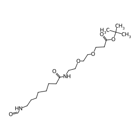 CC(C)(C)OC(=O)CCOCCOCCNC(=O)CCCCCCCNC=O